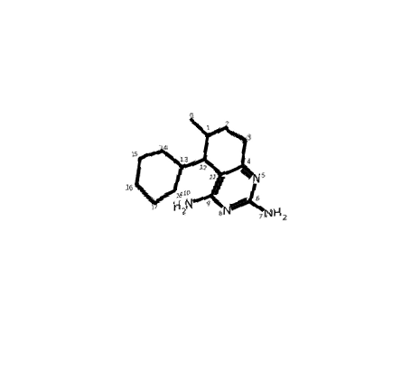 CC1CCc2nc(N)nc(N)c2C1C1CCCCC1